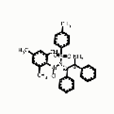 Cc1ccc(S(=O)(=O)[N]([C@@H](c2ccccc2)[C@@H](N)c2ccccc2)[Rh]([Cl])[c]2c(C)cc(C)cc2C)cc1